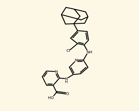 O=C(O)c1cccnc1Nc1ccc(Nc2ccc(C34CC5CC(CC(C5)C3)C4)cc2Cl)nc1